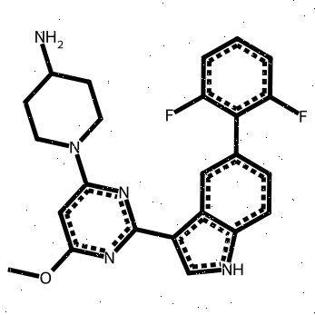 COc1cc(N2CCC(N)CC2)nc(-c2c[nH]c3ccc(-c4c(F)cccc4F)cc23)n1